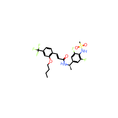 CCCCOc1cc(C(F)(F)F)ccc1C=CC(=O)N[C@H](C)c1cc(F)c(NS(C)(=O)=O)c(F)c1